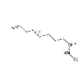 C=CC/C=C/CCCN(C)NCC